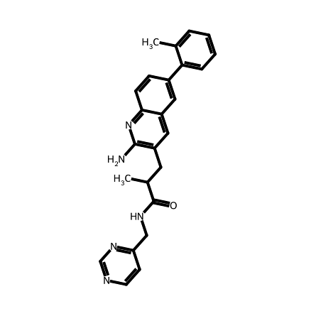 Cc1ccccc1-c1ccc2nc(N)c(CC(C)C(=O)NCc3ccncn3)cc2c1